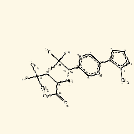 Cn1cccc1-c1ccc([C@H](NC(CC(C)(C)F)C(=O)O)C(F)(F)F)cc1